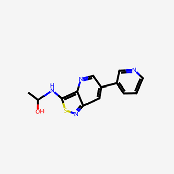 CC(O)Nc1snc2cc(-c3cccnc3)cnc12